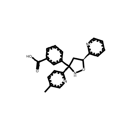 Cc1ccc(C2(c3cccc(C(=O)O)c3)C[C@@H](c3ccccn3)ON2)nc1